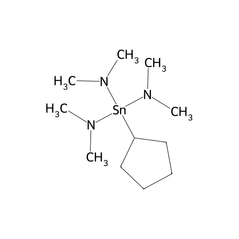 C[N](C)[Sn]([CH]1CCCC1)([N](C)C)[N](C)C